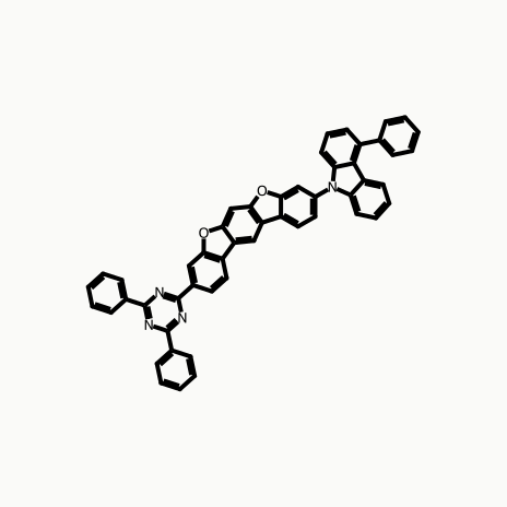 c1ccc(-c2nc(-c3ccccc3)nc(-c3ccc4c(c3)oc3cc5oc6cc(-n7c8ccccc8c8c(-c9ccccc9)cccc87)ccc6c5cc34)n2)cc1